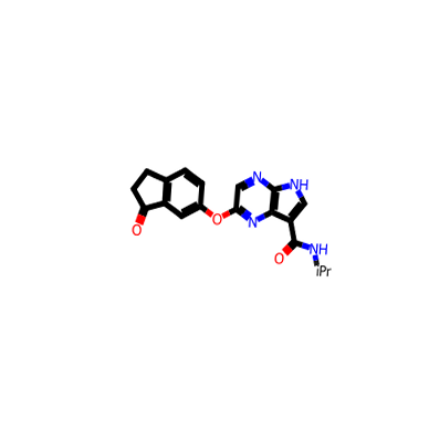 CC(C)NC(=O)c1c[nH]c2ncc(Oc3ccc4c(c3)C(=O)CC4)nc12